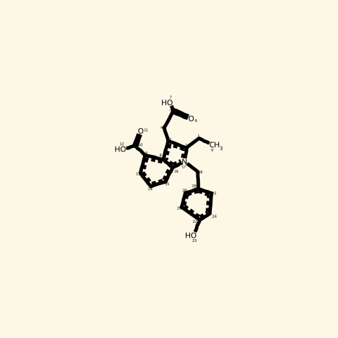 CCc1c(CC(=O)O)c2c(C(=O)O)cccc2n1Cc1ccc(O)cc1